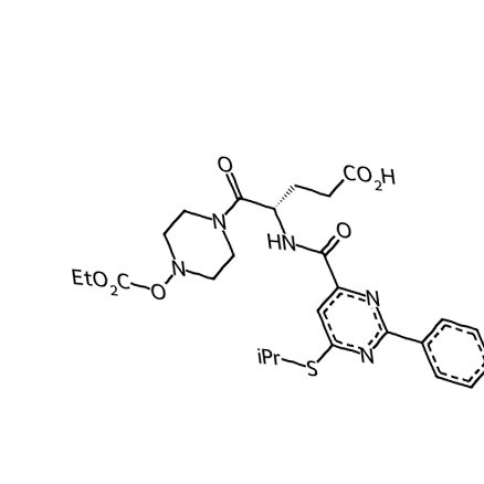 CCOC(=O)ON1CCN(C(=O)[C@H](CCC(=O)O)NC(=O)c2cc(SC(C)C)nc(-c3ccccc3)n2)CC1